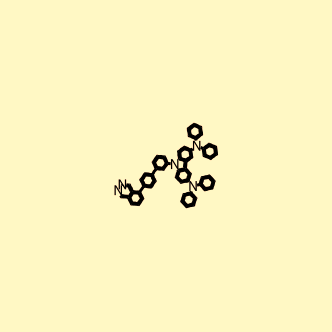 c1ccc(N(c2ccccc2)c2ccc3c(c2)c2cc(N(c4ccccc4)c4ccccc4)ccc2n3-c2cccc(-c3ccc(-c4cccc5cnncc45)cc3)c2)cc1